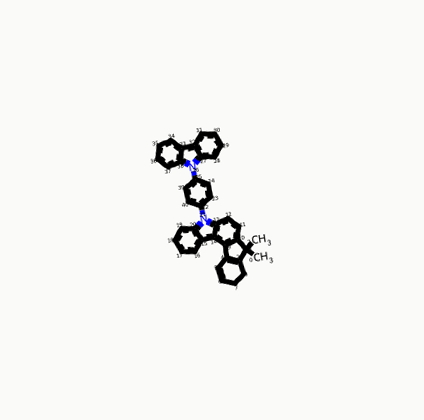 CC1(C)C2=C(C=CCC2)c2c1ccc1c2c2ccccc2n1-c1ccc(-n2c3ccccc3c3ccccc32)cc1